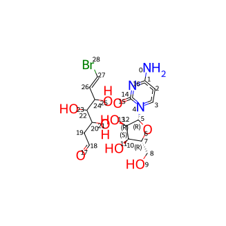 Nc1ccn([C@@H]2O[C@H](CO)[C@@H](O)[C@H]2O)c(=O)n1.O=CCC(O)C(O)C(O)C=CBr